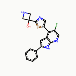 OC1(c2ncc(-c3c(F)cnc4[nH]c(-c5ccccc5)cc34)s2)CNC1